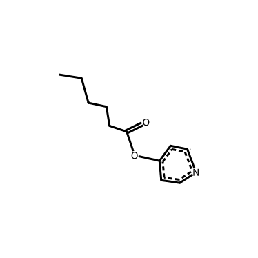 CCCCCC(=O)Oc1c[c]ncc1